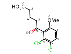 COc1ccc(Cl)c(Cl)c1C(=O)CCCC(=O)O